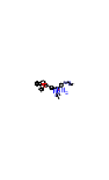 C=C\C=C/C(=C\C)C(/N)=N/C(=C\Cc1ccc(/C=C/C=C\C=C/C)cc1)c1ccc(-c2ccc(C)c(-c3ccccc3C3C4=CCCCC4c4ccccc43)c2)cc1